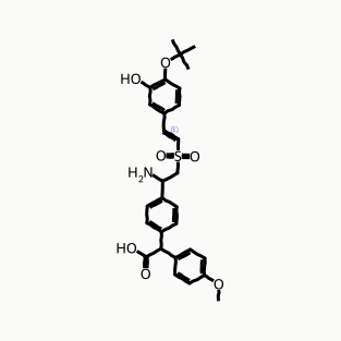 COc1ccc(C(C(=O)O)c2ccc(C(N)CS(=O)(=O)/C=C/c3ccc(OC(C)(C)C)c(O)c3)cc2)cc1